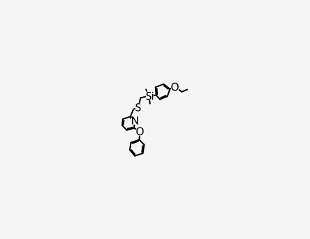 CCOc1ccc([Si](C)(C)CSCc2cccc(Oc3ccccc3)n2)cc1